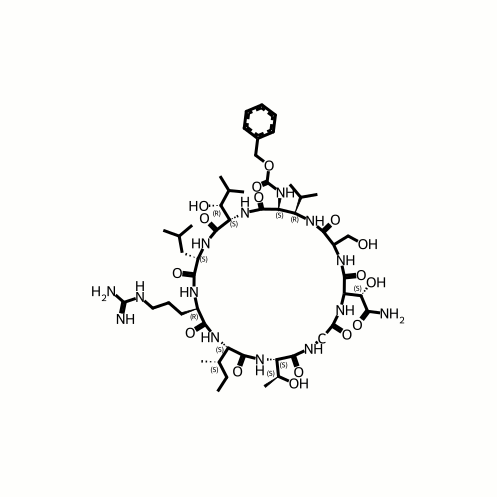 CC[C@H](C)[C@@H]1NC(=O)[C@@H](CCCNC(=N)N)NC(=O)[C@H](CC(C)C)NC(=O)[C@H]([C@H](O)C(C)C)NC(=O)[C@@H](NC(=O)OCc2ccccc2)[C@@H](C(C)C)NC(=O)C(CO)NC(=O)C([C@H](O)C(N)=O)NC(=O)CNC(=O)[C@H]([C@H](C)O)NC1=O